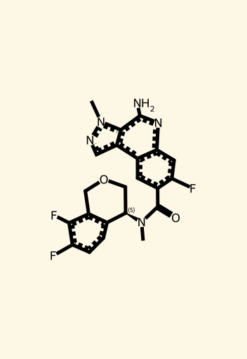 CN(C(=O)c1cc2c(cc1F)nc(N)c1c2cnn1C)[C@@H]1COCc2c1ccc(F)c2F